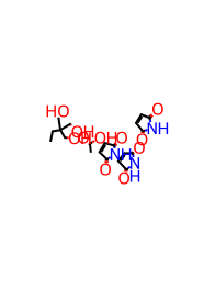 CC(=O)O.CCC(CO)(CO)CO.O=C1C=CC(=O)N1.O=C1C=CC(=O)N1.O=C1C=CC(=O)N1